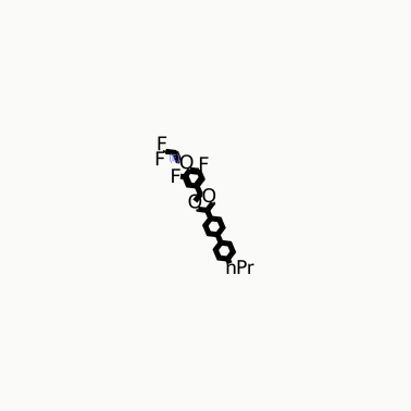 CCCC1CCC(C2CCC(C3COC(c4cc(F)c(O/C=C/C(F)F)c(F)c4)OC3)CC2)CC1